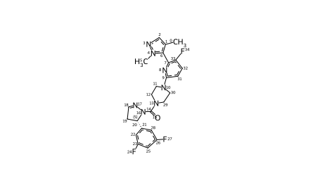 Cc1cnn(C)c1-c1nc(N2CCN(C(=O)N3N=CC[C@H]3c3cc(F)cc(F)c3)CC2)ccc1F